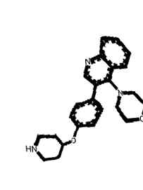 c1ccc2c(N3CCOCC3)c(-c3ccc(OC4CCNCC4)cc3)cnc2c1